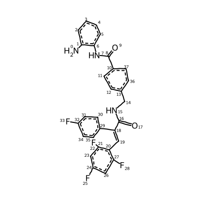 Nc1ccccc1NC(=O)c1ccc(CNC(=O)/C(=C/c2c(F)cc(F)cc2F)c2ccc(F)cc2)cc1